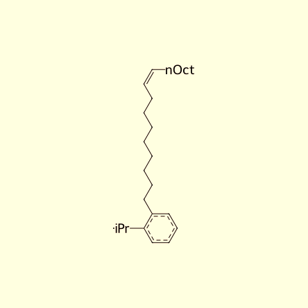 CCCCCCCC/C=C\CCCCCCCCc1ccccc1[C](C)C